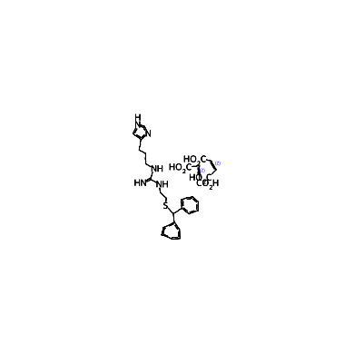 N=C(NCCCc1c[nH]cn1)NCCSC(c1ccccc1)c1ccccc1.O=C(O)/C=C\C(=O)O.O=C(O)/C=C\C(=O)O